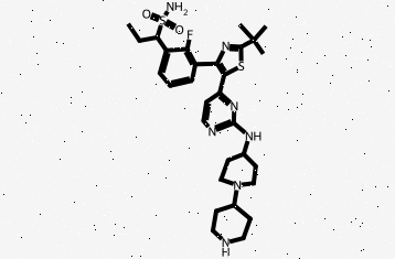 CCC(c1cccc(-c2nc(C(C)(C)C)sc2-c2ccnc(NC3CCN(C4CCNCC4)CC3)n2)c1F)S(N)(=O)=O